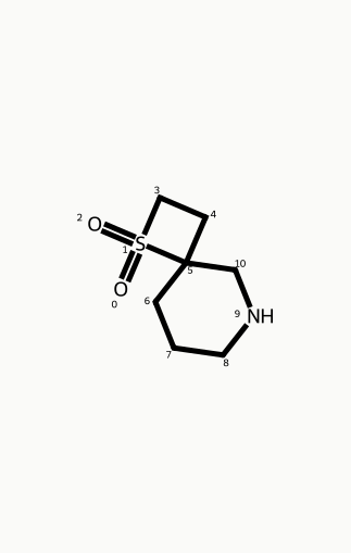 O=S1(=O)CCC12CCCNC2